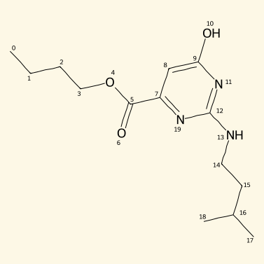 CCCCOC(=O)c1cc(O)nc(NCCC(C)C)n1